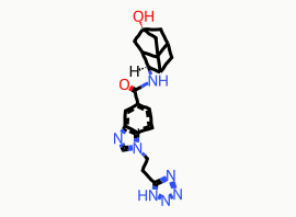 O=C(N[C@H]1C2CC3CC1C[C@](O)(C3)C2)c1ccc2c(c1)ncn2CCc1nnn[nH]1